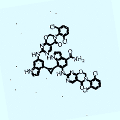 NC(=O)c1cc(Nc2ncc3c(n2)OCN(c2c(Cl)cccc2Cl)C3=O)c(C2CC2c2cc(Nc3ncc4c(n3)OCN(c3c(Cl)cccc3Cl)C4=O)cc3[nH]ccc23)c2[nH]ccc12